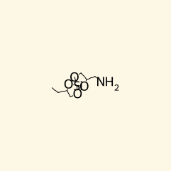 CCC1CO[Si]2(OCC(CN)O2)O1